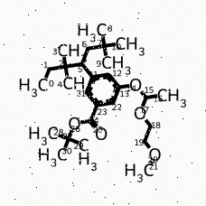 CCC(C)(C)C(CC(C)(C)C)c1cc(OC(C)OCCOC)cc(C(=O)OC(C)(C)C)c1